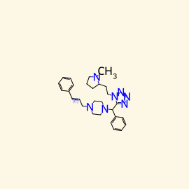 CN1CCCC1CCn1nnnc1C(c1ccccc1)N1CCN(C/C=C/c2ccccc2)CC1